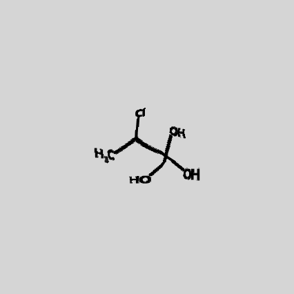 CC(Cl)C(O)(O)O